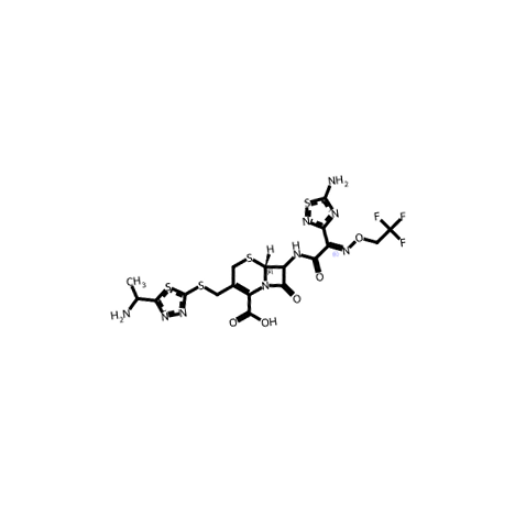 CC(N)c1nnc(SCC2=C(C(=O)O)N3C(=O)C(NC(=O)/C(=N/OCC(F)(F)F)c4nsc(N)n4)[C@H]3SC2)s1